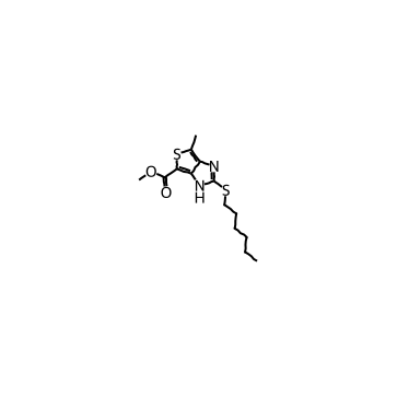 CCCCCCSc1nc2c(C)sc(C(=O)OC)c2[nH]1